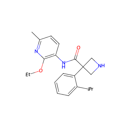 CCOc1nc(C)ccc1NC(=O)C1(c2ccccc2C(C)C)CNC1